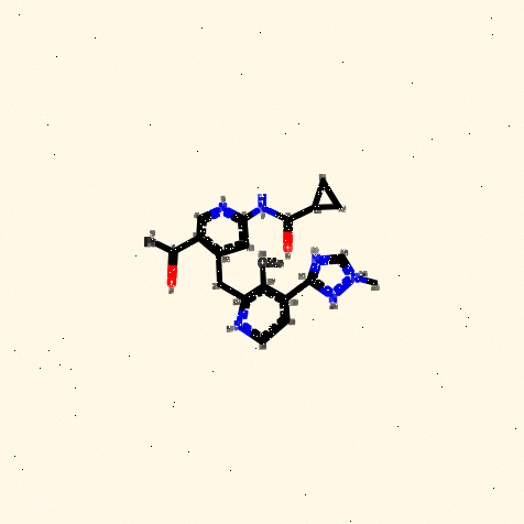 CCC(=O)c1cnc(NC(=O)C2CC2)cc1Cc1nccc(-c2ncn(C)n2)c1OC